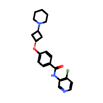 O=C(Nc1cnccc1Cl)c1ccc(O[C@H]2C[C@H](N3CCCCC3)C2)cc1